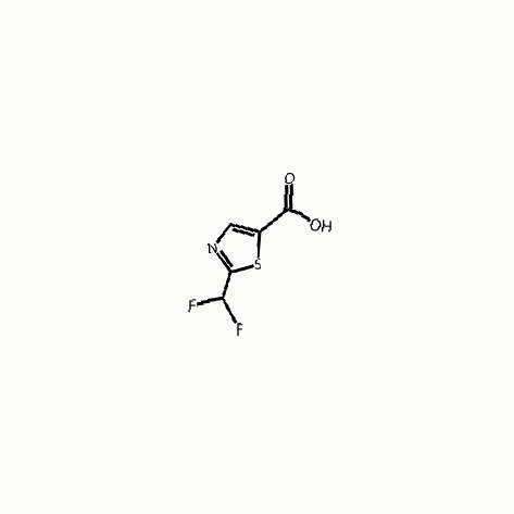 O=C(O)c1cnc(C(F)F)s1